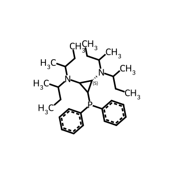 CCC(C)N(C(C)CC)C1C(P(c2ccccc2)c2ccccc2)[C@H]1N(C(C)CC)C(C)CC